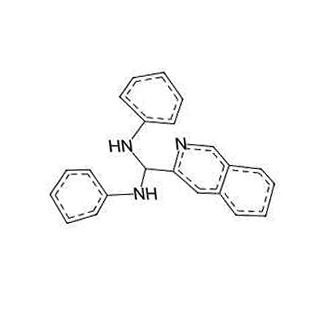 c1ccc(NC(Nc2ccccc2)c2cc3ccccc3cn2)cc1